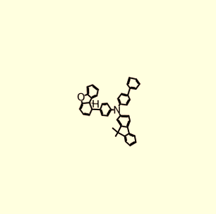 CC1(C)c2ccccc2-c2ccc(N(c3ccc(-c4ccccc4)cc3)c3ccc(C4C=CC=C5Oc6ccccc6[C@H]54)cc3)cc21